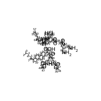 CC(C)CCC[C@@H](C)C1CCC2C3CC=C4CC(C(C(=O)O)C(C)(C)C(=O)N(CCCNC(=O)OC(C)(C)C)CCCNC(=O)OC(C)(C)C)CCC4C3CCC21.CC(C)CCC[C@@H](C)[C@H]1CC[C@H]2[C@@H]3CC=C4C[C@@H](OC(=O)CCC(=O)N(CCCN)CCCN)CC[C@]4(C)[C@H]3CC[C@]12C.Cl.Cl